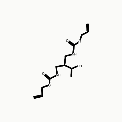 C=CCOC(=O)NCC(CNC(=O)OCC=C)C(C)O